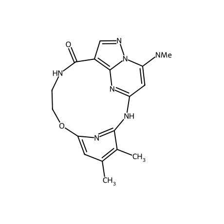 CNc1cc2nc3c(cnn13)C(=O)NCCOc1cc(C)c(C)c(n1)N2